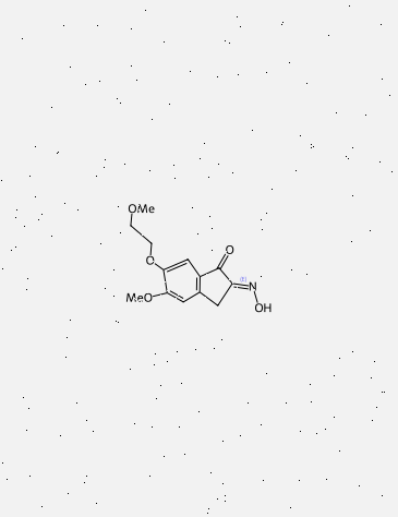 COCCOc1cc2c(cc1OC)C/C(=N\O)C2=O